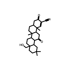 CC1(C)CCC2(CO)CCC3C(C(=O)CC4C5(C)C=C(C#N)C(=O)CC5CCC34C)C2C1